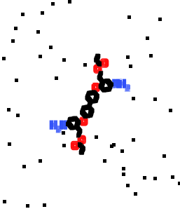 C=CC(=O)OCCc1cc(N)ccc1Oc1ccc(-c2ccc(Oc3ccc(N)cc3CCOC(=O)C=C)cc2)cc1